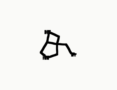 CC(C)CC12CNCC1NC2